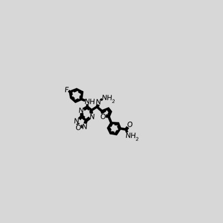 NN=C(c1ccc(-c2cccc(C(N)=O)c2)o1)c1nc2nonc2nc1Nc1ccc(F)cc1